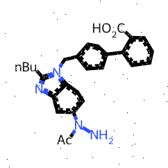 CCCCc1nc2cc(N(N)C(C)=O)ccc2n1Cc1ccc(-c2ccccc2C(=O)O)cc1